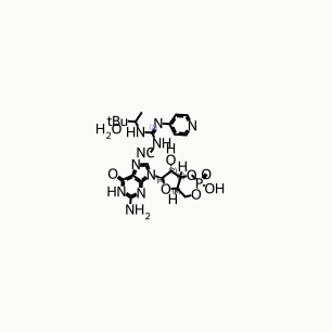 CC(N/C(=N/c1ccncc1)NC#N)C(C)(C)C.Nc1nc2c(ncn2[C@@H]2O[C@@H]3COP(=O)(O)O[C@H]3[C@H]2O)c(=O)[nH]1.O